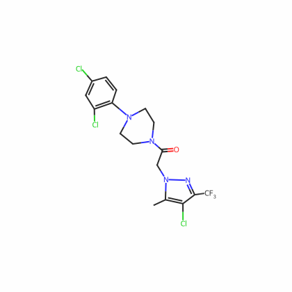 Cc1c(Cl)c(C(F)(F)F)nn1CC(=O)N1CCN(c2ccc(Cl)cc2Cl)CC1